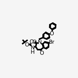 CC(C)(C)OC(=O)NC1CC(=O)c2ccc(Br)cc2N(Cc2ccc(Oc3ccccc3)cc2)C1=O